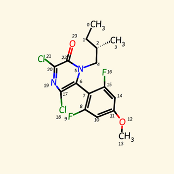 CC[C@H](C)Cn1c(-c2c(F)cc(OC)cc2F)c(Cl)nc(Cl)c1=O